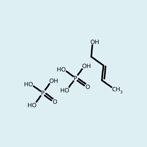 CC=CCO.O=P(O)(O)O.O=P(O)(O)O